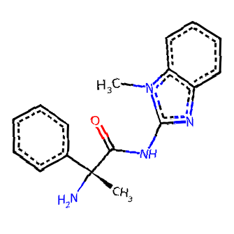 Cn1c(NC(=O)[C@](C)(N)c2ccccc2)nc2ccccc21